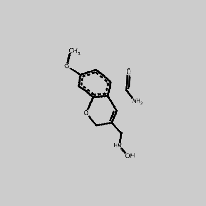 COc1ccc2c(c1)OCC(CNO)=C2.NC=O